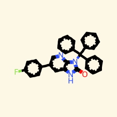 O=c1[nH]c2cc(-c3ccc(F)cc3)cnc2n1C(c1ccccc1)(c1ccccc1)c1ccccc1